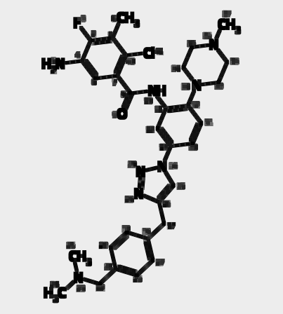 Cc1c(F)c(N)cc(C(=O)Nc2cc(-n3cc(Cc4ccc(CN(C)C)cc4)nn3)ccc2N2CCN(C)CC2)c1Cl